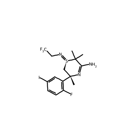 CC1(C)C(N)=N[C@](C)(c2cc(I)ccc2F)C[S@]1=NCC(F)(F)F